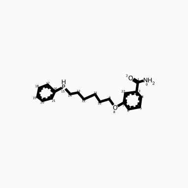 NC(=O)c1cccc(OCCCCCCPc2ccccc2)c1